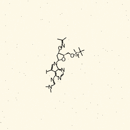 CC(C)=NO[C@@H]1C[C@H](n2cc(I)c3c(/N=C/N(C)C)ncnc32)O[C@@H]1CO[Si](C)(C)C(C)(C)C